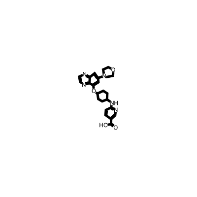 O=C(O)c1ccc(NC2CCC(Oc3cc(N4CCOCC4)cc4nccnc34)CC2)nc1